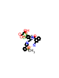 CN(C[C@@H](CCN1CCC(c2ccccc2[S@+](C)[O-])CC1)c1ccc(Cl)c(Cl)c1)C(=O)c1cc(C#N)cc2ccccc12.O=C(O)C=CC(=O)O